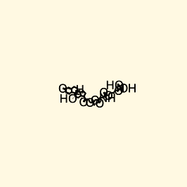 CC(OCC(=O)C1CCC2[C@@H]3CCC4=CC(=O)C=C[C@]4(C)C3(F)[C@@H](O)C[C@]12C)OC(=O)CNC(=O)OCCCON(O)O